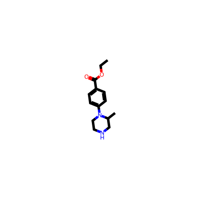 CCOC(=O)c1ccc(N2CCNCC2C)cc1